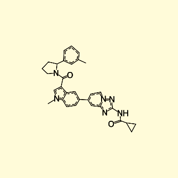 Cc1cccc(C2CCCN2C(=O)c2cn(C)c3ccc(-c4ccn5nc(NC(=O)C6CC6)nc5c4)cc23)c1